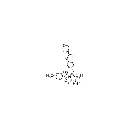 Cc1ccc(S(=O)(=O)N(C(=O)[C@@H]2CCCN2)[C@@](C)(Cc2ccc(OC(=O)N3CCOCC3)cc2)C(=O)O)cc1